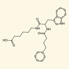 O=C(O)CCCCCNC(=O)C(Cc1c[nH]c2ccccc12)NC(=O)CCCc1ccccc1